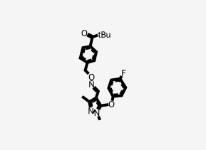 Cc1nn(C)c(Oc2ccc(F)cc2)c1C=NOCc1ccc(C(=O)C(C)(C)C)cc1